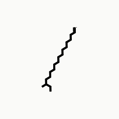 [CH]=CCCCCCCCCCCCCCC(C)CC